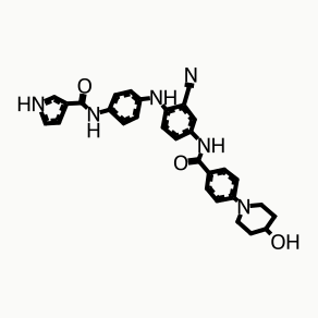 N#Cc1cc(NC(=O)c2ccc(N3CCC(O)CC3)cc2)ccc1Nc1ccc(NC(=O)c2cc[nH]c2)cc1